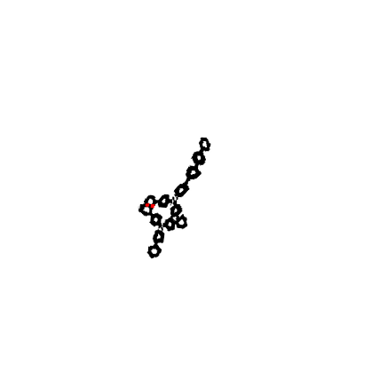 c1cc(-c2ccc(N(c3ccc(C4CCCCC4)cc3)c3ccc(C4(c5ccc(N(c6ccc(C7CCCCC7)cc6)c6ccc(C7CCCCC7)cc6)cc5)CCCCC4)cc3)cc2)ccc1-c1ccc(C2CCCCC2)cc1